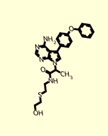 CC(C(=O)NCCSCCO)n1cc(-c2ccc(Oc3ccccc3)cc2)c2c(N)ncnc21